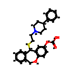 O=C(O)Oc1ccc2c(c1)C(SCCN1CCC(c3ccccc3)CC1)c1ccccc1CO2